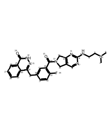 CN(C)CCNc1ncc2c(n1)CN(C(=O)c1cc(Cc3n[nH]c(=O)c4ccccc34)ccc1F)C2